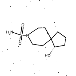 NS(=O)(=O)N1CCC2(CCC[C@@H]2O)CC1